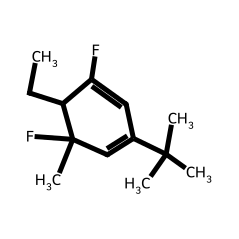 CCC1C(F)=CC(C(C)(C)C)=CC1(C)F